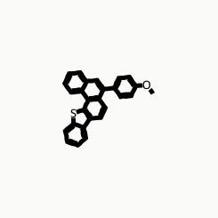 COc1ccc(-c2cc3ccccc3c3c2ccc2c4ccccc4sc23)cc1